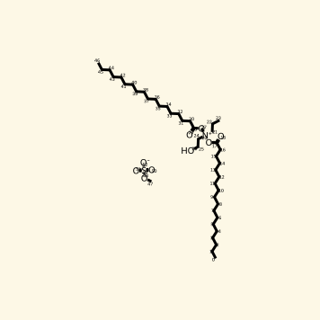 CCCCCCCCCCCCCCCCCC(=O)O[N+](CCC)(CCO)OC(=O)CCCCCCCCCCCCCCCCC.COS(=O)(=O)[O-]